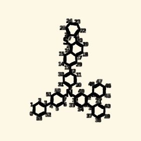 c1ccc(-c2ccc(N(c3ccc(-c4ccc5c(ccc6c7ccccc7sc56)c4)cc3)c3ccc(-c4ccccc4)c(-c4ccccc4)c3)cc2)cc1